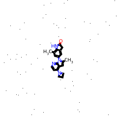 Cc1cc(-n2c(C)cc3c(N4CCC4)ccnc32)cc2c1NC(=O)C2